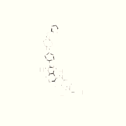 CC(C)N1CCC(Nc2c(Cl)cnc3[nH]c(-c4ccc(N5CCN(Cc6ccco6)CC5)cc4)nc23)CC1